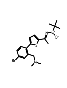 CC(=N[S+]([O-])C(C)(C)C)c1ccc(-c2ccc(Br)cc2CN(C)C)s1